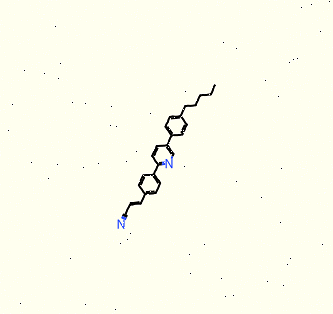 CCCCCc1ccc(-c2ccc(-c3ccc(/C=C/C#N)cc3)nc2)cc1